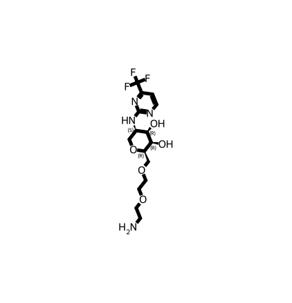 NCCOCCOC[C@H]1OC[C@H](Nc2nccc(C(F)(F)F)n2)[C@@H](O)[C@H]1O